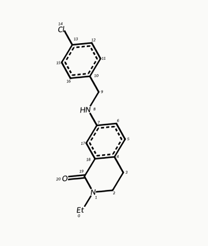 CCN1CCc2ccc(NCc3ccc(Cl)cc3)cc2C1=O